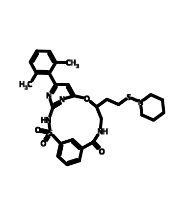 Cc1cccc(C)c1-c1cc2nc(n1)NS(=O)(=O)c1cccc(c1)C(=O)NCC(CCSN1CCCCC1)O2